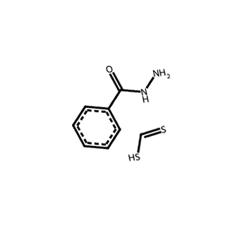 NNC(=O)c1ccccc1.S=CS